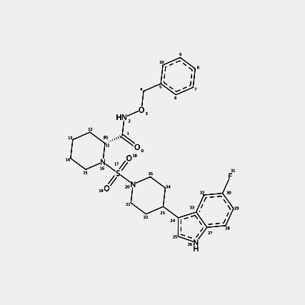 O=C(NOCc1ccccc1)[C@H]1CCCCN1S(=O)(=O)N1CCC(c2c[nH]c3ccc(F)cc23)CC1